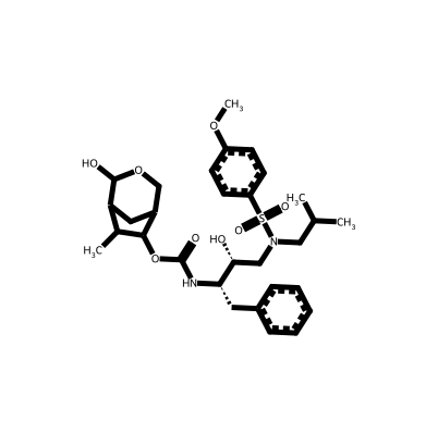 COc1ccc(S(=O)(=O)N(CC(C)C)C[C@@H](O)[C@H](Cc2ccccc2)NC(=O)OC2C3COC(O)C(C3)C2C)cc1